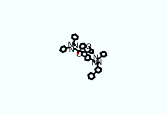 c1ccc(-c2cccc(-c3nc(-c4ccccc4)nc(-c4ccc5c(c4)C4(c6ccccc6Oc6ccccc64)c4cc(-c6nc(-c7ccccc7)nc(-c7ccccc7)n6)ccc4-5)n3)c2)cc1